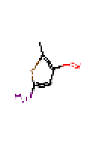 Cc1sc(P)cc1O